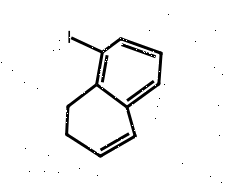 Ic1cccc2c1CCC=C2